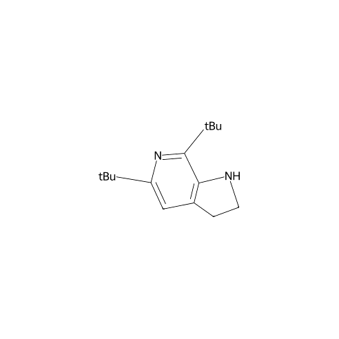 CC(C)(C)c1cc2c(c(C(C)(C)C)n1)NCC2